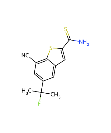 CC(C)(F)c1cc(C#N)c2sc(C(N)=S)cc2c1